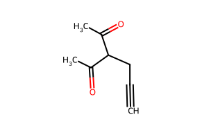 C#CCC(C(C)=O)C(C)=O